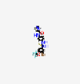 O=C(Nc1ccc(NC(=S)Nc2ccc(OC(F)(F)F)c(Br)c2)cc1)c1csnn1